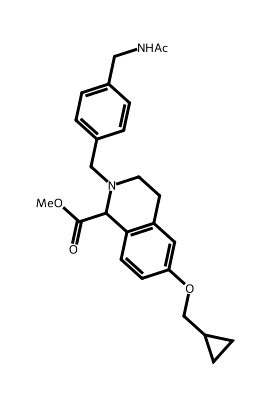 COC(=O)C1c2ccc(OCC3CC3)cc2CCN1Cc1ccc(CNC(C)=O)cc1